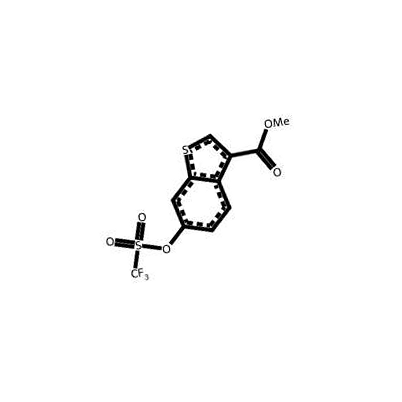 COC(=O)c1csc2cc(OS(=O)(=O)C(F)(F)F)ccc12